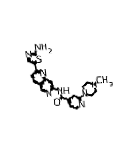 CN1CCN(c2cc(C(=O)Nc3cc4nc(-c5cnc(N)s5)ccc4cn3)ccn2)CC1